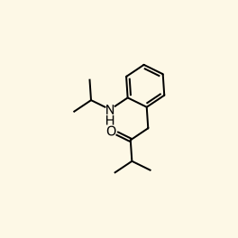 CC(C)Nc1ccccc1CC(=O)C(C)C